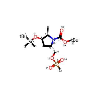 C[C@@H]1[C@H](O[Si](C)(C)C(C)(C)C)C[C@@H](COS(C)(=O)=O)N1C(=O)OC(C)(C)C